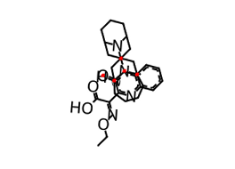 CCON=C(C(=O)O)c1nc2ccccc2n(C2CC3CCCC(C2)N3C2CC3CCCC[C@H](C3)C2)c1=O